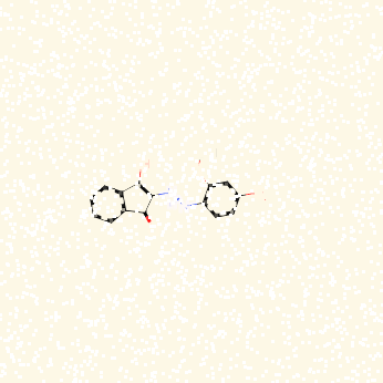 COc1ccc(/N=N/C2=C(O)c3ccccc3C2=O)c(OC)c1